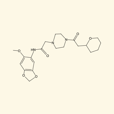 COc1cc2c(cc1NC(=O)CN1CCN(C(=O)CC3CCCCO3)CC1)OCO2